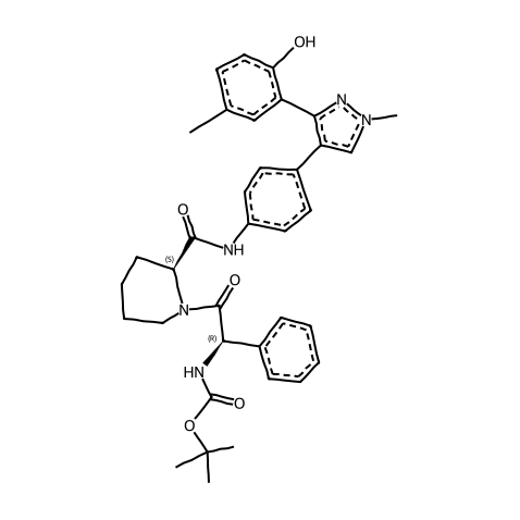 Cc1ccc(O)c(-c2nn(C)cc2-c2ccc(NC(=O)[C@@H]3CCCCN3C(=O)[C@H](NC(=O)OC(C)(C)C)c3ccccc3)cc2)c1